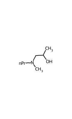 CCCN(C)CC(C)O